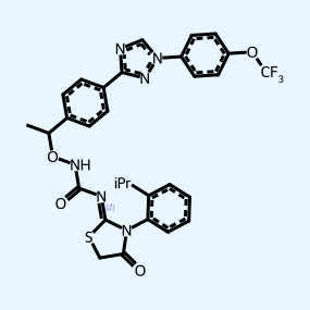 CC(C)c1ccccc1N1C(=O)CS/C1=N\C(=O)NOC(C)c1ccc(-c2ncn(-c3ccc(OC(F)(F)F)cc3)n2)cc1